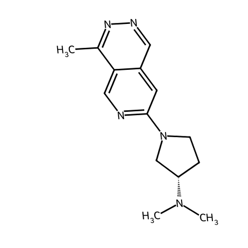 Cc1nncc2cc(N3CC[C@H](N(C)C)C3)ncc12